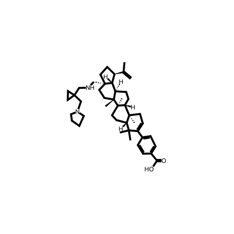 C=C(C)[C@@H]1CC[C@]2(CNCC3(CN4CCCC4)CC3)CC[C@]3(C)[C@H](CC[C@@H]4[C@@]5(C)CC=C(c6ccc(C(=O)O)cc6)C(C)(C)[C@@H]5CC[C@]43C)[C@@H]12